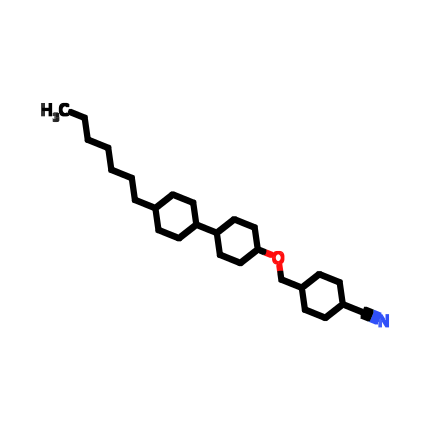 CCCCCCCC1CCC(C2CCC(OCC3CCC(C#N)CC3)CC2)CC1